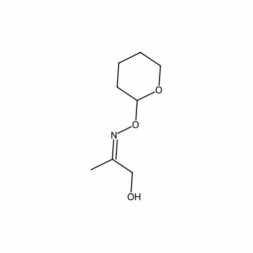 CC(CO)=NOC1CCCCO1